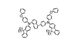 CCC1(CC)c2ccccc2-c2ccc(N(c3ccc(Oc4ccccc4)cc3)c3ccc(-c4cccc5c(N(c6ccc(Oc7ccccc7)cc6)c6ccc7c(c6)C(CC)(CC)c6ccccc6-7)cccc45)cc3)cc21